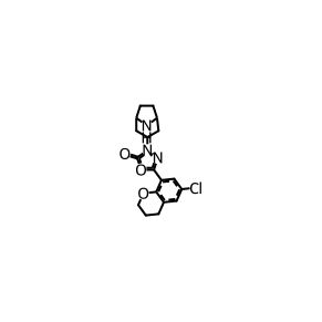 O=c1oc(-c2cc(Cl)cc3c2OCCC3)nn1C1CC2CCC(C1)N2